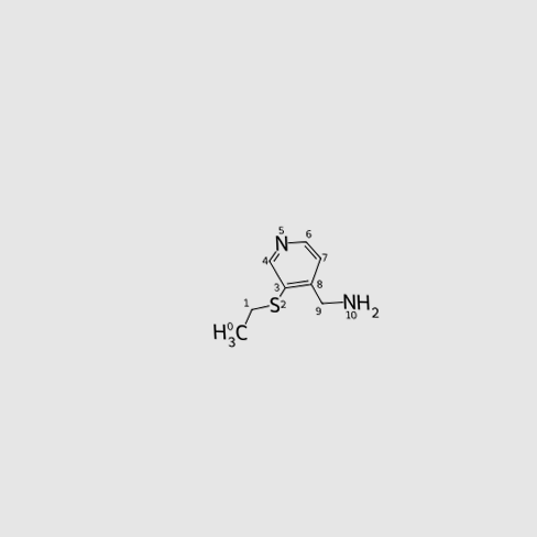 CCSc1cnccc1CN